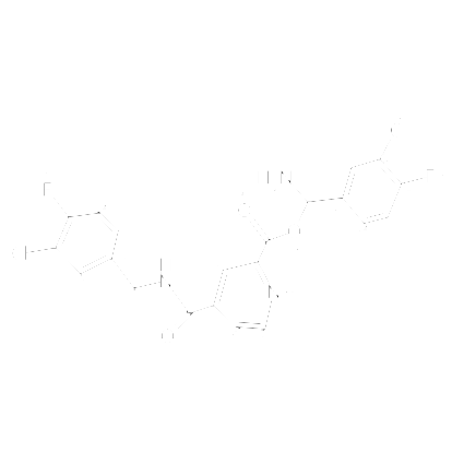 NC(OC(=O)c1cc(C(=O)NCc2ccc(F)c(Cl)c2)ccn1)c1ccc(F)c(Cl)c1